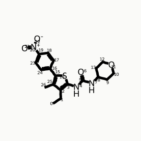 CCc1c(NC(=O)NC2CCOCC2)sc(-c2ccc([N+](=O)[O-])cc2)c1C